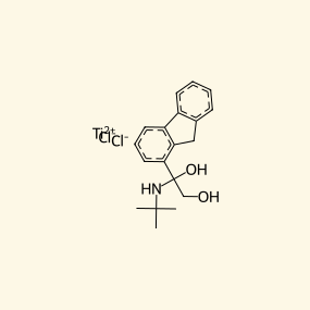 CC(C)(C)NC(O)(CO)c1cccc2c1Cc1ccccc1-2.[Cl-].[Cl-].[Ti+2]